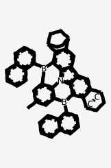 Cc1cc2c3c(c1)B(c1cccc4ccccc14)c1c4c(cc5c6cc7c(c(c6n-3c15)B2c1cccc2ccccc12)C1CCC7CC1)C1CCC4CC1